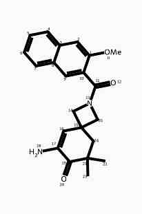 COc1cc2ccccc2cc1C(=O)N1CC2(C=C(N)C(=O)C(C)(C)C2)C1